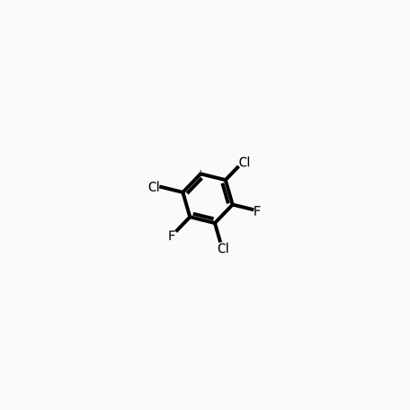 Fc1c(Cl)[c]c(Cl)c(F)c1Cl